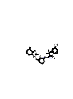 CC1=C(Sc2nc3c(s2)C(C)CC=C3)/C(=C/C=C2/N(C)c3ccc(Cl)cc3C2(C)C)CCC1